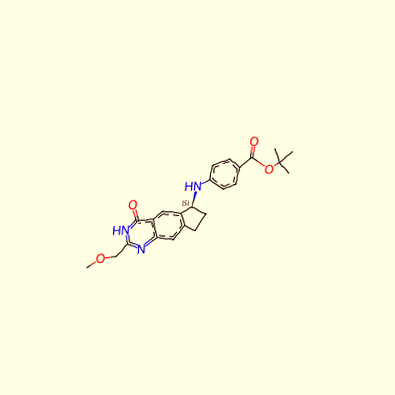 COCc1nc2cc3c(cc2c(=O)[nH]1)[C@@H](Nc1ccc(C(=O)OC(C)(C)C)cc1)CC3